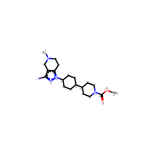 CC(=O)N1CCc2c(c(I)nn2C2CCC(C3CCN(C(=O)OC(C)(C)C)CC3)CC2)C1